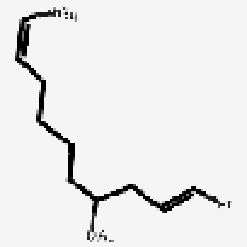 CCC=CCC(CCCC/C=C\CCCC)OC(C)=O